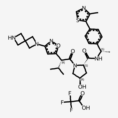 Cc1ncsc1-c1ccc([C@H](C)NC(=O)[C@@H]2C[C@@H](O)CN2C(=O)[C@@H](c2cc(N3CC4(CNC4)C3)no2)C(C)C)cc1.O=C(O)C(F)(F)F